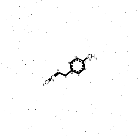 Cc1ccc(CC=C=O)cc1